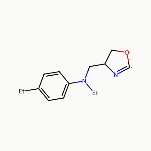 CCc1ccc(N(CC)CC2CO[C]=N2)cc1